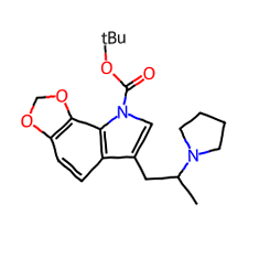 CC(Cc1cn(C(=O)OC(C)(C)C)c2c3c(ccc12)OCO3)N1CCCC1